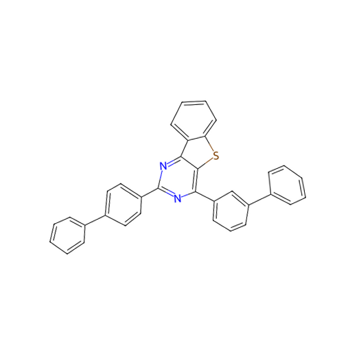 c1ccc(-c2ccc(-c3nc(-c4cccc(-c5ccccc5)c4)c4sc5ccccc5c4n3)cc2)cc1